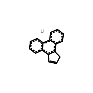 C1=Cc2c(c3ccccc3c3ccccc23)C1.[Li]